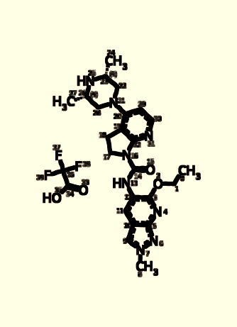 CCOc1nc2nn(C)cc2cc1NC(=O)N1CCc2c(N3C[C@@H](C)N[C@@H](C)C3)ccnc21.O=C(O)C(F)(F)F